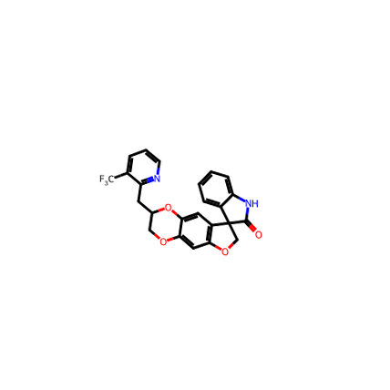 O=C1Nc2ccccc2C12COc1cc3c(cc12)OC(Cc1ncccc1C(F)(F)F)CO3